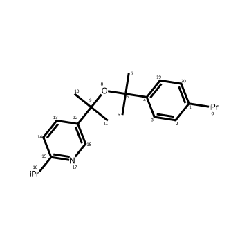 CC(C)c1ccc(C(C)(C)OC(C)(C)c2ccc(C(C)C)nc2)cc1